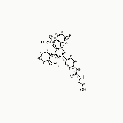 CC1COCCN1c1nc(-c2ccc(NC(=O)NCCO)cc2)nc(-c2cc(F)ccc2S(C)(=O)=O)n1